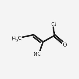 C/C=C(\C#N)C(=O)Cl